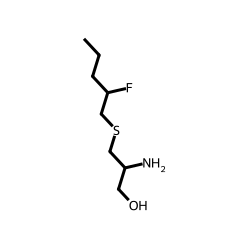 CCCC(F)CSCC(N)CO